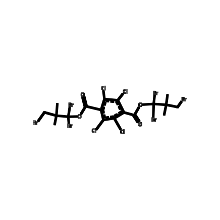 CC(C)(CBr)C(Br)(Br)OC(=O)c1c(Cl)c(Cl)c(C(=O)OC(Br)(Br)C(C)(C)CBr)c(Cl)c1Cl